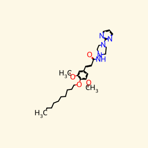 CCCCCCCCCCOc1c(OC)cc(C=CC(=O)NN2CCN(c3ncccn3)CC2)cc1OC